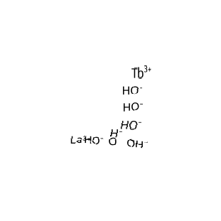 [La+3].[OH-].[OH-].[OH-].[OH-].[OH-].[OH-].[Tb+3]